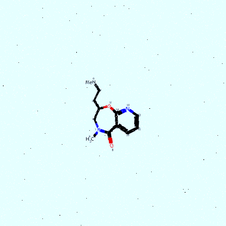 CNCCC1CN(C)C(=O)c2cccnc2O1